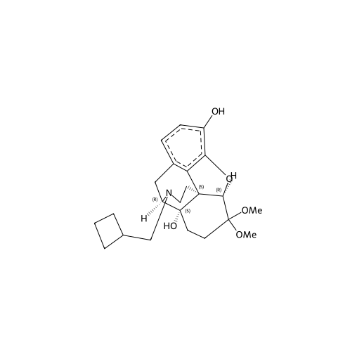 COC1(OC)CC[C@@]2(O)[C@H]3Cc4ccc(O)c5c4[C@@]2(CCN3CC2CCC2)[C@H]1O5